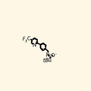 CC(C)(C)[S+]([O-])/N=C/c1ccc(-c2ccc(C(F)(F)F)cn2)cc1